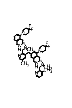 Cc1cnc(CN(C)C[C@H]2Cc3c(cccc3N3CCC(F)(F)CC3)CN2)c(Cc2cc3c(c(N4CCC(F)(F)CC4)c2)C[C@H](CN(C)Cc2ncccc2C)NC3)c1